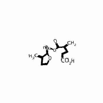 C=C(C=CC(=O)O)C(=O)OCCCC.C=C1CCOC1=O